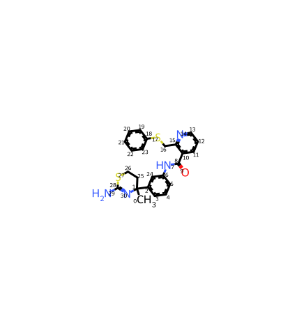 CC1(c2cccc(NC(=O)c3cccnc3CSc3ccccc3)c2)CCSC(N)=N1